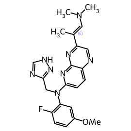 COc1ccc(F)c(N(Cc2nc[nH]n2)c2ccc3ncc(/C(C)=C/N(C)C)nc3n2)c1